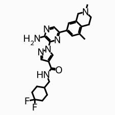 Cc1cc(-c2cnc(N)c(-n3cc(C(=O)NCC4CCC(F)(F)CC4)cn3)n2)cc2c1CCN(C)C2